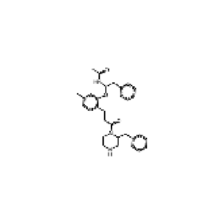 CC(=O)NC(Cc1ccccc1)Oc1cc(C)ccc1CCC(=O)N1CCNCC1Cc1ccccc1